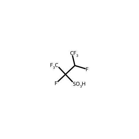 O=S(=O)(O)C(F)(C(F)C(F)(F)F)C(F)(F)F